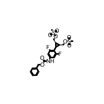 CS(=O)(=O)OC[C@@H]1C(c2c(F)cc(NC(=O)OCc3ccccc3)cc2F)[C@@H]1COS(C)(=O)=O